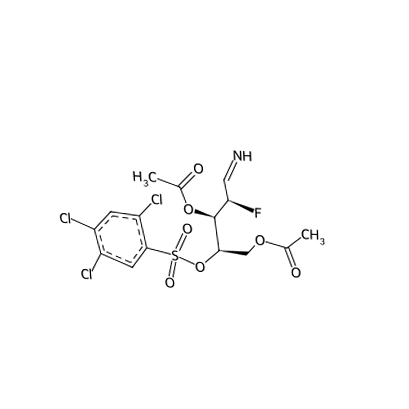 CC(=O)OC[C@@H](OS(=O)(=O)c1cc(Cl)c(Cl)cc1Cl)[C@@H](OC(C)=O)[C@H](F)C=N